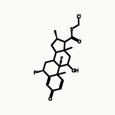 C[C@@H]1CC2C3C[C@H](F)C4=CC(=O)C=CC4(C)[C@@]3(F)C(O)CC2(C)C1C(=O)SCCl